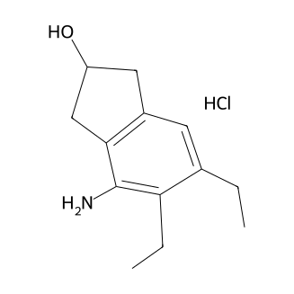 CCc1cc2c(c(N)c1CC)CC(O)C2.Cl